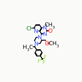 COCC1CN(C(C)c2ccc(C(F)(F)F)cc2)CCN1c1nc(=O)n(C)c2ccc(Cl)nc12